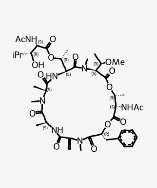 C=C1C(=O)N[C@@H](C)C(=O)N(C)[C@@H](C)C(=O)N[C@@H]([C@@H](C)OC(=O)[C@@H](NC(C)=O)[C@H](O)C(C)C)C(=O)N(C)[C@@H]([C@@H](C)OC)C(=O)O[C@H](C)[C@H](NC(C)=O)C(=O)O[C@H](Cc2ccccc2)C(=O)N1C